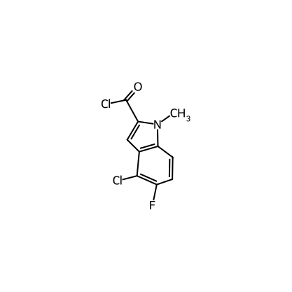 Cn1c(C(=O)Cl)cc2c(Cl)c(F)ccc21